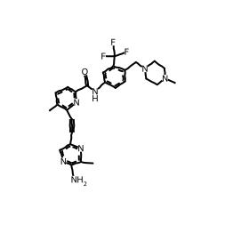 Cc1ccc(C(=O)Nc2ccc(CN3CCN(C)CC3)c(C(F)(F)F)c2)nc1C#Cc1cnc(N)c(C)n1